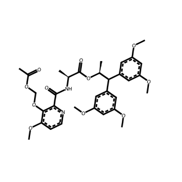 COc1cc(OC)cc(C(c2cc(OC)cc(OC)c2)[C@H](C)OC(=O)[C@H](C)NC(=O)c2nccc(OC)c2OCOC(C)=O)c1